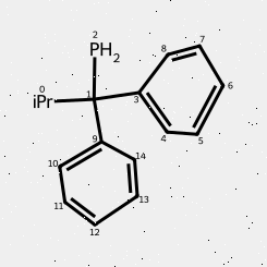 CC(C)C(P)(c1ccccc1)c1ccccc1